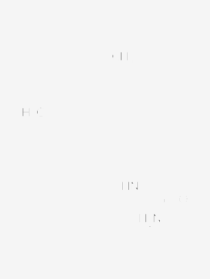 CC1CCC(c2cc3cc(C(N)=O)[nH]c3cc2C2CCC(C)CC2)CC1